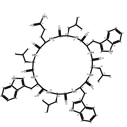 CC(C)C[C@H]1NC(=O)C(CCC(N)=O)NC(=O)[C@@H](CC(C)C)NC(=O)C(Cc2c[nH]c3ccccc23)NC(=O)[C@@H](CC(C)C)NC(=O)C(Cc2c[nH]c3ccccc23)NC(=O)[C@@H](CC(C)C)NC(=O)C(Cc2c[nH]c3ccccc23)NC1=O